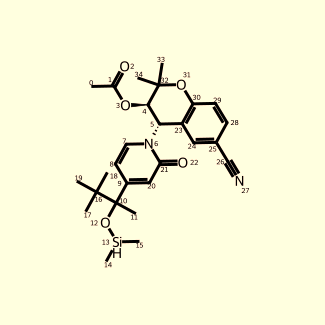 CC(=O)O[C@@H]1[C@@H](n2ccc(C(C)(O[SiH](C)C)C(C)(C)C)cc2=O)c2cc(C#N)ccc2OC1(C)C